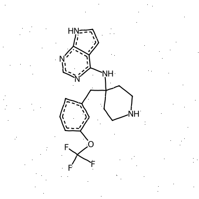 FC(F)(F)Oc1cccc(CC2(Nc3ncnc4[nH]ccc34)CCNCC2)c1